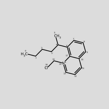 CCCCC(C)c1cccc2ccc[n+](CCl)c12